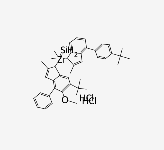 COc1c(C(C)(C)C)cc2c(c1-c1ccccc1)C=C(C)[CH]2[Zr]([CH3])([CH3])(=[SiH2])[CH]1C(C)=Cc2c(-c3ccc(C(C)(C)C)cc3)cccc21.Cl.Cl